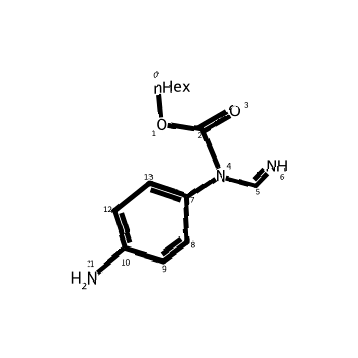 CCCCCCOC(=O)N(C=N)c1ccc(N)cc1